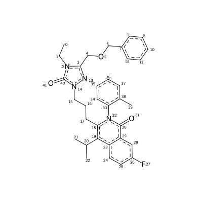 CCn1c(COCc2ccccc2)nn(CCCc2c(C(C)C)c3ccc(F)cc3c(=O)n2-c2ccccc2C)c1=O